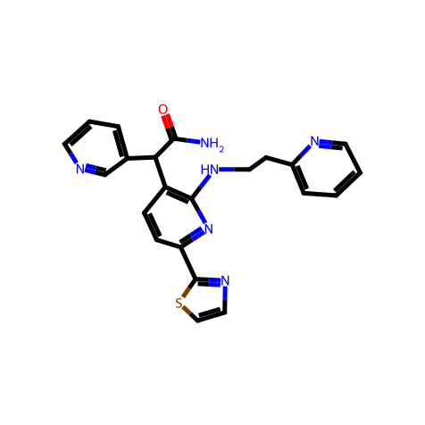 NC(=O)C(c1cccnc1)c1ccc(-c2nccs2)nc1NCCc1ccccn1